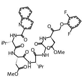 COC(=O)C[C@H](NC(=O)[C@@H](NC(=O)c1ccc2ccccc2n1)C(C)C)C(=O)N[C@H](C(=O)N[C@@H](C)C(=O)N[C@H](CC(=O)OC)C(=O)COc1c(F)cccc1F)C(C)C